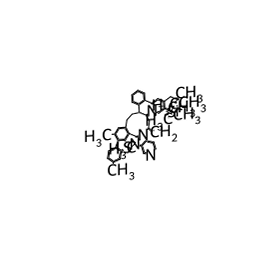 C=C1CC2C(CCc3cc(C)c4c(sc5cc(C)ccc54)c3-c3n(C)c4cnccc4[n+]31)c1ccccc1-c1cc(CC(C)(C)C)c([Si](C)(C)C)c[n+]12